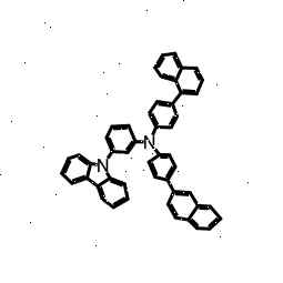 c1cc(N(c2ccc(-c3ccc4ccccc4c3)cc2)c2ccc(-c3cccc4ccccc34)cc2)cc(-n2c3ccccc3c3ccccc32)c1